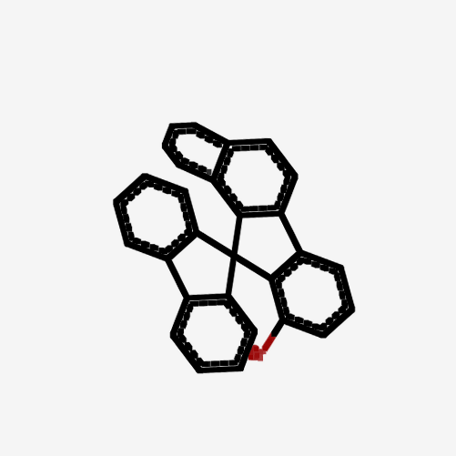 Brc1cccc2c1C1(c3ccccc3-c3ccccc31)c1c-2ccc2ccccc12